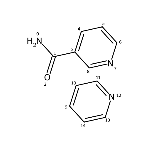 NC(=O)c1cccnc1.c1ccncc1